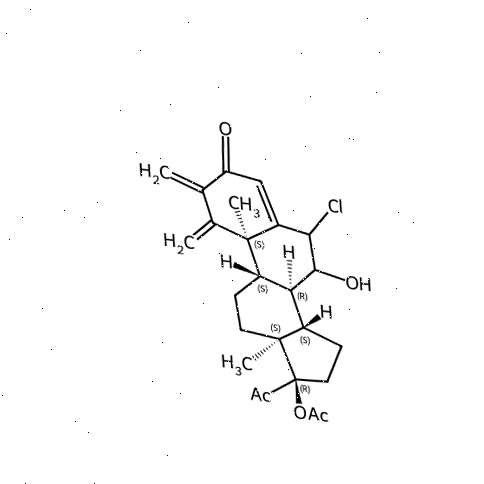 C=C1C(=C)[C@@]2(C)C(=CC1=O)C(Cl)C(O)[C@@H]1[C@@H]2CC[C@@]2(C)[C@H]1CC[C@]2(OC(C)=O)C(C)=O